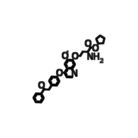 COc1cc2c(Oc3ccc(CC(=O)c4ccccc4)cc3)ccnc2cc1OCC[C@H](N)C(=O)OC1CCCC1